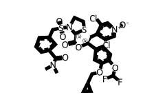 CN(C)C(=O)c1cccc(CS(=O)(=O)N2CCS[C@H]2C(=O)O[C@@H](Cc2c(Cl)c[n+]([O-])cc2Cl)c2ccc(OC(F)F)c(OCC3CC3)c2)c1